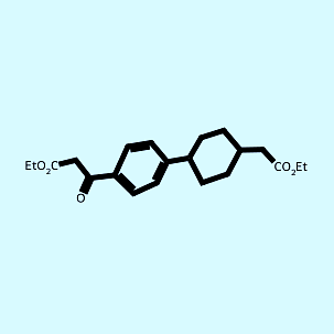 CCOC(=O)CC(=O)c1ccc(C2CCC(CC(=O)OCC)CC2)cc1